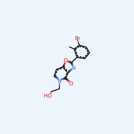 Cc1c(Br)cccc1-c1nc2c(=O)n(CCO)ccc2o1